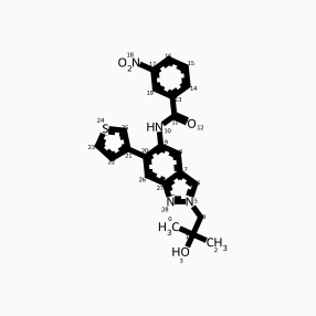 CC(C)(O)Cn1cc2cc(NC(=O)c3cccc([N+](=O)[O-])c3)c(-c3ccsc3)cc2n1